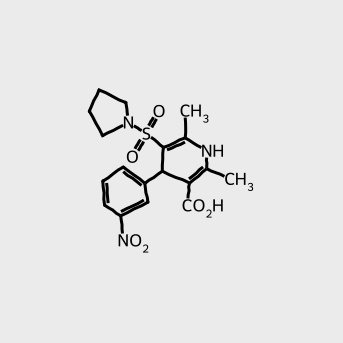 CC1=C(C(=O)O)C(c2cccc([N+](=O)[O-])c2)C(S(=O)(=O)N2CCCC2)=C(C)N1